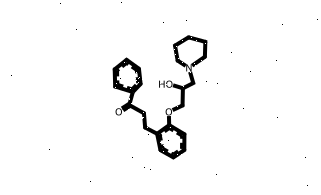 O=C(CCc1ccccc1OCC(O)CN1CCCCC1)c1ccccc1